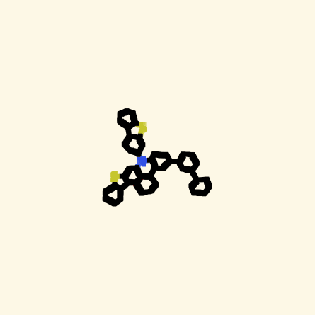 c1ccc(-c2cccc(-c3ccc(N(c4ccc5c(c4)sc4ccccc45)c4ccc5c(c4)sc4ccccc45)c(-c4ccccc4)c3)c2)cc1